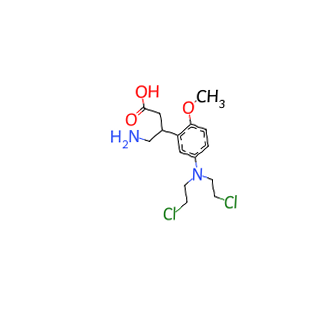 COc1ccc(N(CCCl)CCCl)cc1C(CN)CC(=O)O